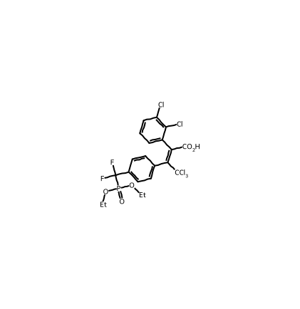 CCOP(=O)(OCC)C(F)(F)c1ccc(C(=C(C(=O)O)c2cccc(Cl)c2Cl)C(Cl)(Cl)Cl)cc1